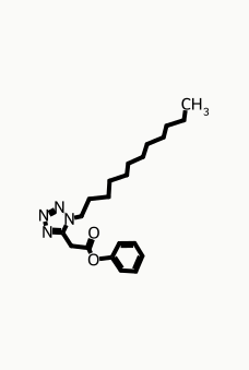 CCCCCCCCCCCCn1nnnc1CC(=O)Oc1ccccc1